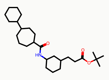 CC(C)(C)OC(=O)CCC1CCCC(NC(=O)C2CCCC(C3CCCCC3)CC2)C1